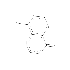 Nc1nccc2c(=O)[nH]cnc12